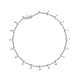 C1=C/CCCCCCCCCCCCCCCCCC/1